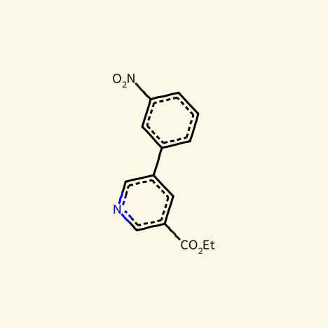 CCOC(=O)c1cncc(-c2cccc([N+](=O)[O-])c2)c1